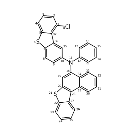 Clc1cccc2sc3ccc(N(c4ccccc4)c4cc5sc6ccccc6c5c5ccccc45)cc3c12